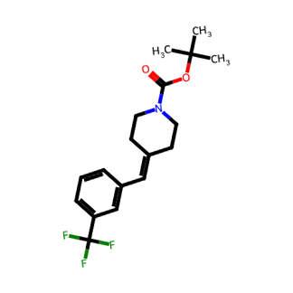 CC(C)(C)OC(=O)N1CCC(=Cc2cccc(C(F)(F)F)c2)CC1